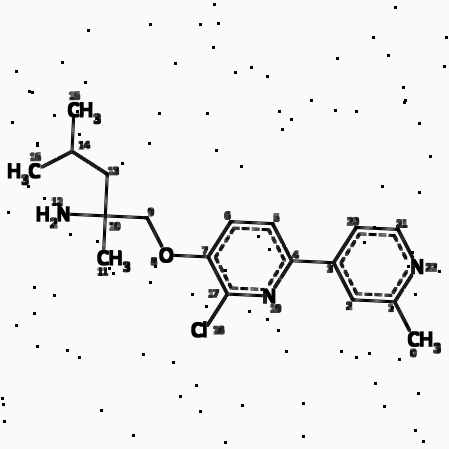 Cc1cc(-c2ccc(OCC(C)(N)CC(C)C)c(Cl)n2)ccn1